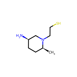 C[C@H]1CC[C@@H](N)CN1CCS